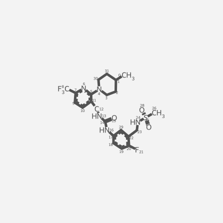 CC1CCN(c2nc(C(F)(F)F)ccc2CNC(=O)Nc2ccc(F)c(CNS(C)(=O)=O)c2)CC1